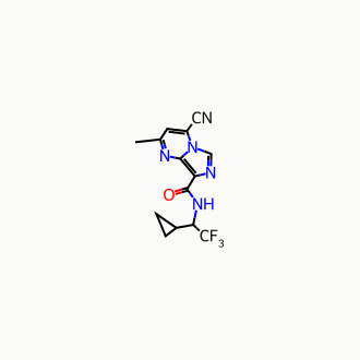 Cc1cc(C#N)n2cnc(C(=O)NC(C3CC3)C(F)(F)F)c2n1